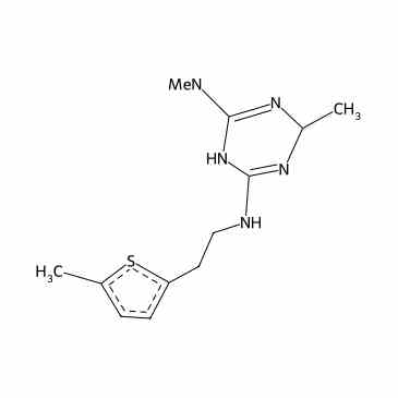 CNC1=NC(C)N=C(NCCc2ccc(C)s2)N1